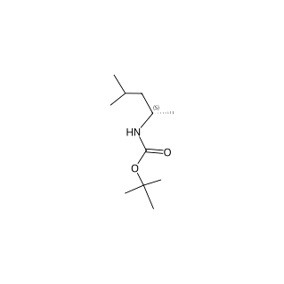 CC(C)C[C@H](C)NC(=O)OC(C)(C)C